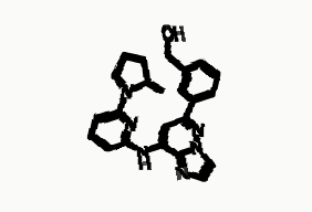 CC1CCCN1c1cccc(Nc2cc(-c3cccc(CO)c3)nn3ccnc23)n1